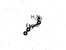 CC/C(=N\OCCOc1cccc(CC(N)=O)c1)c1ccc(-c2ccccc2)cc1